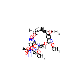 C=C[C@@H]1C[C@]1(NC(=O)[C@@H]1C[C@@H]2CN1C(=O)[C@H](C1CCCC1)NC(=O)OCC(C)(C)C[C@H]1C[C@@H]1c1cc3c(cc(OCC)nc3cc1OC)O2)C(=O)NS(=O)(=O)C1CC1